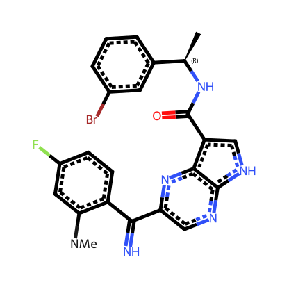 CNc1cc(F)ccc1C(=N)c1cnc2[nH]cc(C(=O)N[C@H](C)c3cccc(Br)c3)c2n1